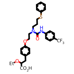 CCOC(Cc1ccc(OCCN(CCCSc2ccccc2)C(=O)Nc2ccc(C(F)(F)F)cc2)cc1)C(=O)O